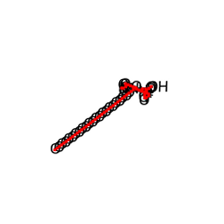 COCCOCCOCCOCCOCCOCCOCCOCCOCCOCCOCCOCCOCCOCCOCCOCCOCCOCCOCCOCCOCCOCCOCCCN(CCCCCC(=O)ON1C(=O)CCC1=O)C(=O)CCCCCN1c2cc3oc(=O)cc(C(F)(F)F)c3cc2C(CSOOO)=CC1(C)C